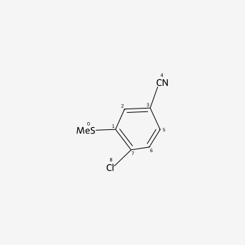 CSc1cc(C#N)ccc1Cl